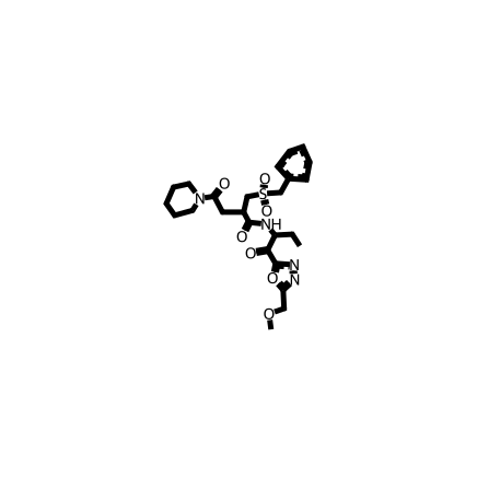 CCC(NC(=O)C(CC(=O)N1CCCCC1)CS(=O)(=O)Cc1ccccc1)C(=O)c1nnc(COC)o1